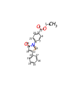 CCOC(=O)c1ccc(-n2sc(-c3ccccc3)cc2=O)cc1